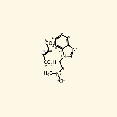 CN(C)CCn1cnc2ccccc21.O=C(O)/C=C/C(=O)O